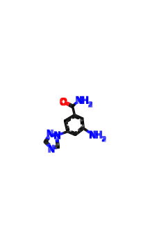 NC(=O)c1cc(N)cc(-n2cncn2)c1